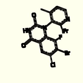 Cc1ccnc(C(C)C)c1-n1c(=O)[nH]c(=O)c2cc(Cl)c(Br)c(F)c21